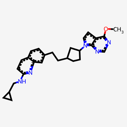 COc1ncnc2c1ccn2C1CCC(CCc2ccc3ccc(NCC4CC4)nc3c2)C1